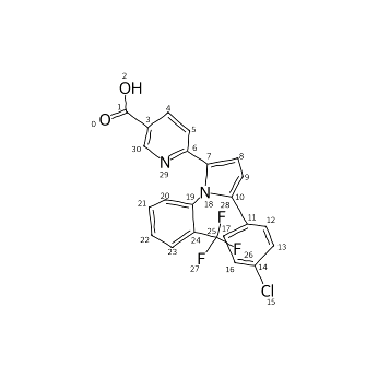 O=C(O)c1ccc(-c2ccc(-c3ccc(Cl)cc3)n2-c2ccccc2C(F)(F)F)nc1